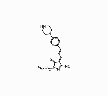 [C-]#[N+]C1=NN(OOC=C)C(=S)/C1=C\C=C\c1ccc(N2CCNCC2)cc1